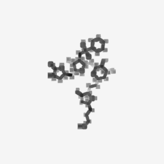 C=C1C[C@H](CCCO)O[C@H]1CC[C@H]1C[C@@H](C)C(=C)[C@@H](C[C@@H]2O[C@H](C[C@H]3CNC(=O)O3)[C@H](C)[C@H]2CS(=O)(=O)c2ccccc2)O1